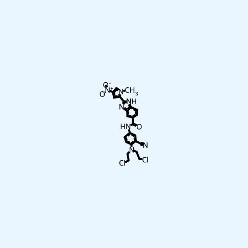 Cn1cc([N+](=O)[O-])cc1-c1nc2cc(C(=O)Nc3ccc(N(CCCl)CCCl)c(C#N)c3)ccc2[nH]1